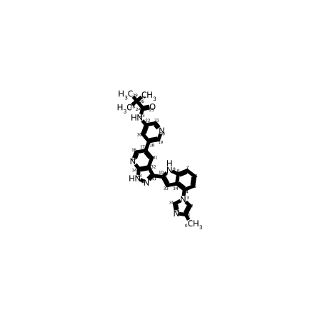 Cc1cn(-c2cccc3[nH]c(-c4n[nH]c5ncc(-c6cncc(NC(=O)C(C)(C)C)c6)cc45)cc23)cn1